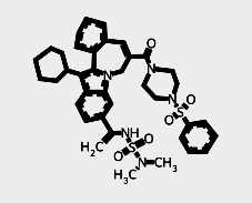 C=C(NS(=O)(=O)N(C)C)c1ccc2c(C3CCCCC3)c3n(c2c1)CC(C(=O)N1CCN(S(=O)(=O)c2ccccc2)CC1)=Cc1ccccc1-3